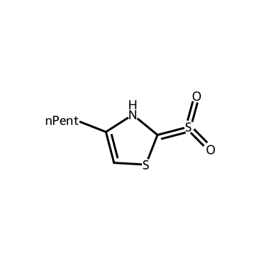 CCCCCc1csc(=S(=O)=O)[nH]1